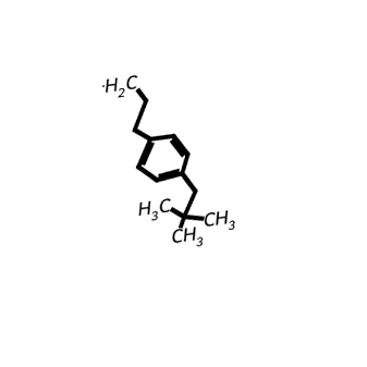 [CH2]CCc1ccc(CC(C)(C)C)cc1